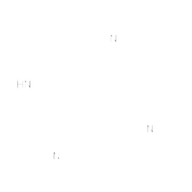 CN1CCCNCCN(C)CCCN(C)CCC1